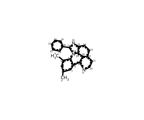 Cc1cc(C)c2c(c1)c1nccc3ccc4nc(-c5ccccc5)n2c4c31